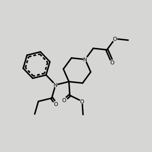 CCC(=O)N(c1ccccc1)C1(C(=O)OC)CCN(CC(=O)OC)CC1